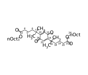 CCCCCCCCOC(=O)CCCC(C)(C)C1=CC(=O)C(C(C)(C)CCCC(=O)OCCCCCCCC)=CC1=O